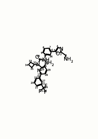 NCc1ncc(-c2cccc(NC(=O)N(c3nc(-c4cccc(C(F)(F)F)c4)ccc3N)C3CCC3)c2)o1